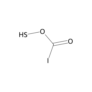 O=C(I)OS